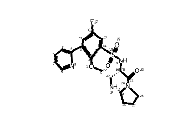 COc1c(-c2ccccn2)cc(F)cc1S(=O)(=O)N[C@@H](CN)C(=O)N1CCCC1